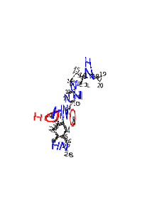 C=c1cc(O)c(NC(=O)c2cnc(N3CC[C@@H](NC4CC4)C3)cn2)c/c1=C/NC